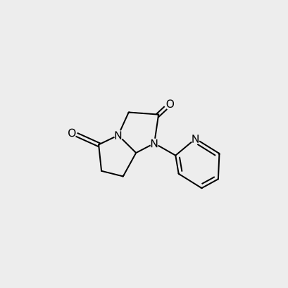 O=C1CCC2N1CC(=O)N2c1ccccn1